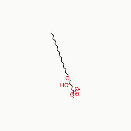 CCCCCCCCCCCCCCCCOCC(O)CCP(=O)(OC)OC